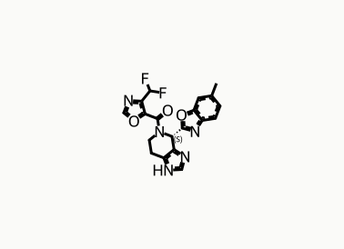 Cc1ccc2nc([C@@H]3c4nc[nH]c4CCN3C(=O)c3ocnc3C(F)F)oc2c1